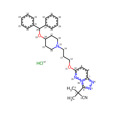 CC(C)(C#N)c1nnc2ccc(OCCCN3CCC(OC(c4ccccc4)c4ccccc4)CC3)nn12.Cl